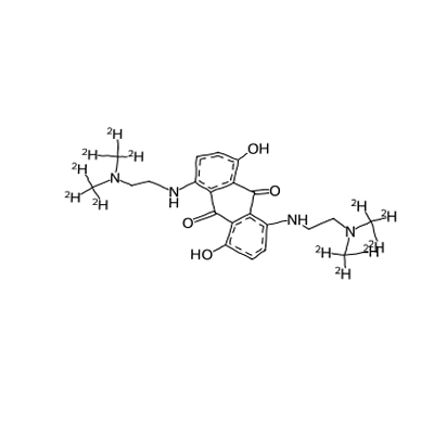 [2H]C([2H])([2H])N(CCNc1ccc(O)c2c1C(=O)c1c(O)ccc(NCCN(C([2H])([2H])[2H])C([2H])([2H])[2H])c1C2=O)C([2H])([2H])[2H]